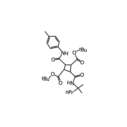 CCCC(C)(C)NC(=O)C1C(C(=O)OC(C)(C)C)C(C(=O)Nc2ccc(C)cc2)C1C(=O)OC(C)(C)C